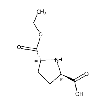 CCOC(=O)[C@H]1CC[C@H](C(=O)O)N1